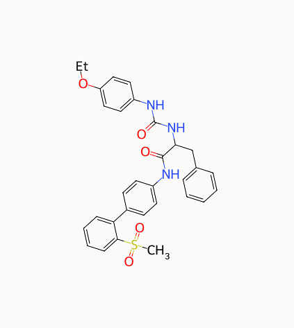 CCOc1ccc(NC(=O)NC(Cc2ccccc2)C(=O)Nc2ccc(-c3ccccc3S(C)(=O)=O)cc2)cc1